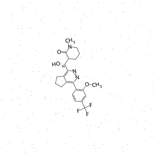 COc1cc(C(F)(F)F)ccc1-c1nnc([C@H](O)C2CCCN(C)C2=O)c2c1CCC2